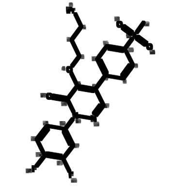 CC(C)CCCOc1c(-c2ccc(S(C)(=O)=O)cc2)cnn(-c2ccc(F)c(F)c2)c1=O